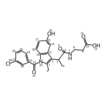 Cc1c(C(C)C(=O)NCCC(=O)O)c2cc(O)ccc2n1C(=O)c1cccc(Cl)c1